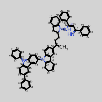 CC(CCC1CC2=C(CCC=C2)N1N/C(=C\C(=N)c1ccccc1)c1ccccc1)c1ccc2c(c1)c1c(n2-c2ccc3c(c2)c2cc(-c4ccccc4)ccc2n3-c2ccccc2)CCC=C1